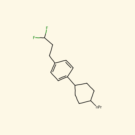 CCCC1CCC(c2ccc(CCC(F)F)cc2)CC1